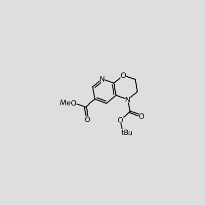 COC(=O)c1cnc2c(c1)N(C(=O)OC(C)(C)C)CCO2